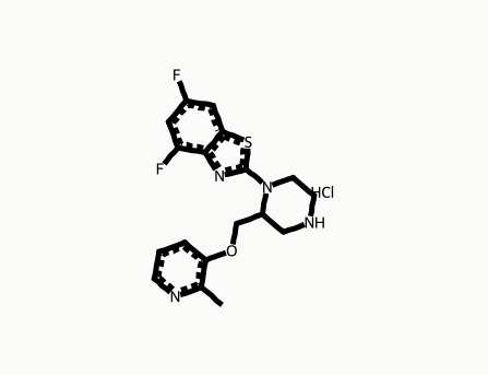 Cc1ncccc1OCC1CNCCN1c1nc2c(F)cc(F)cc2s1.Cl